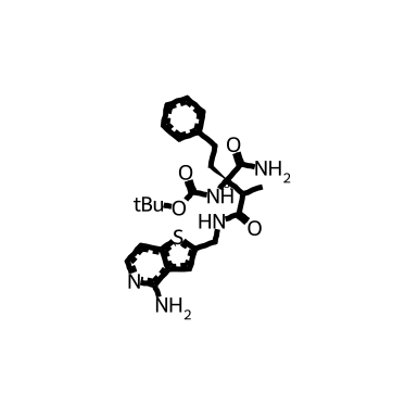 CC(C(=O)NCc1cc2c(N)nccc2s1)[C@](CCc1ccccc1)(NC(=O)OC(C)(C)C)C(N)=O